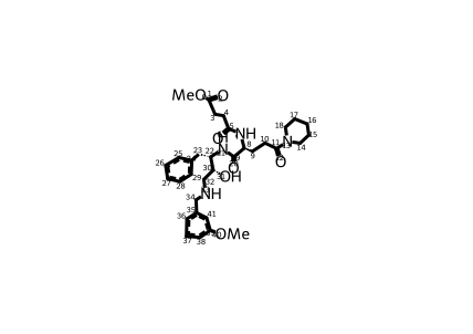 COC(=O)CCC(=O)N[C@@H](CCC(=O)N1CCCCC1)C(=O)N[C@@H](Cc1ccccc1)[C@H](O)CNCc1cccc(OC)c1